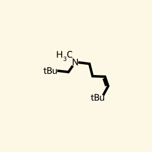 CN(CC/C=C\C(C)(C)C)CC(C)(C)C